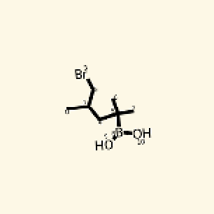 CC(CBr)CC(C)(C)B(O)O